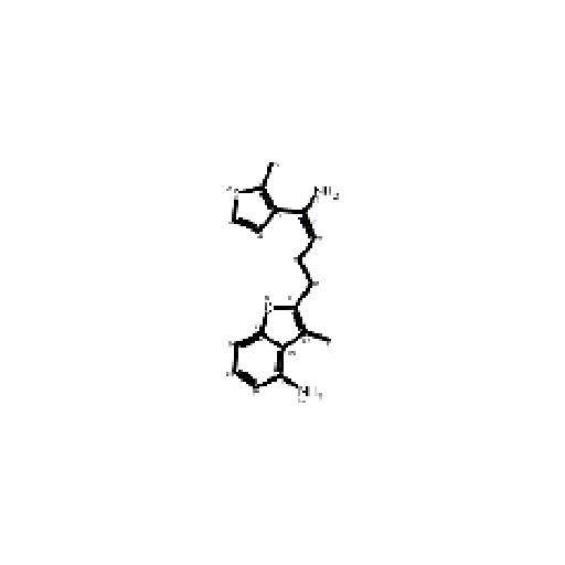 Cc1sccc1/C(N)=C\CCc1oc2cccc(N)c2c1C